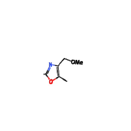 COCc1n[c]oc1C